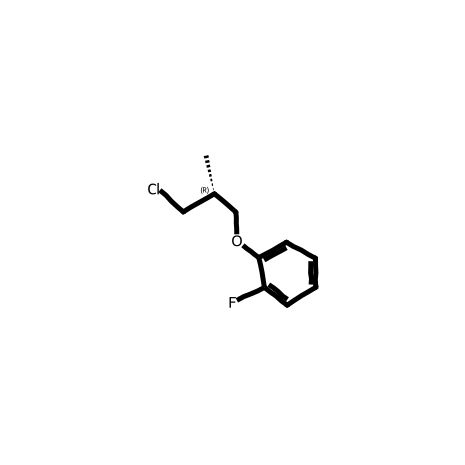 C[C@@H](CCl)COc1ccccc1F